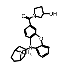 CN1C2CCC1CC(N1c3ccccc3Oc3cc(C(=O)N4CCC(O)C4)ccc31)C2